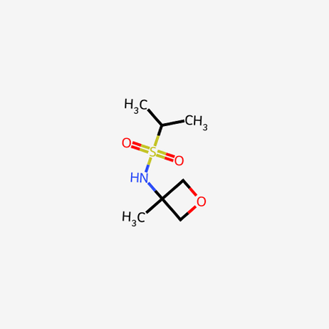 CC(C)S(=O)(=O)NC1(C)COC1